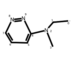 [CH2]CN(C)c1cccnn1